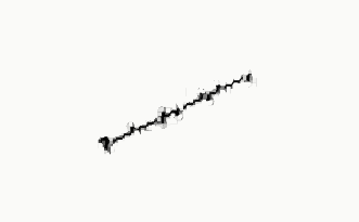 CC(=O)N(O)CCCCCNC(=O)CCC(=O)N(O)CCCCCNC(=O)CCC(=O)N(O)CCCCCNC(=O)CCCCCn1ccnc1N=O